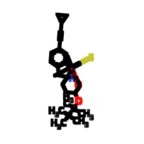 CC(C)(C)[Si](C)(C)OC1CCC2(CC1)Cc1ccc(C#CC3CC3)cc1C21NC(=S)NC1=O